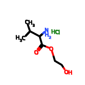 CC(C)C(N)C(=O)OCCO.Cl